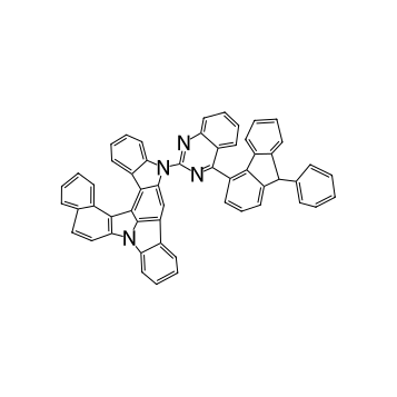 c1ccc(C2c3ccccc3-c3c(-c4nc(-n5c6ccccc6c6c7c8c9ccccc9ccc8n8c9ccccc9c(cc65)c78)nc5ccccc45)cccc32)cc1